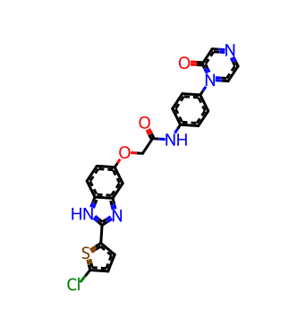 O=C(COc1ccc2[nH]c(-c3ccc(Cl)s3)nc2c1)Nc1ccc(-n2ccncc2=O)cc1